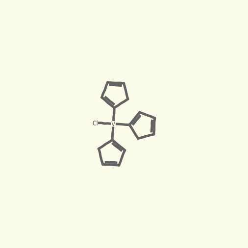 [Cl][V]([C]1=CC=CC1)([C]1=CC=CC1)[C]1=CC=CC1